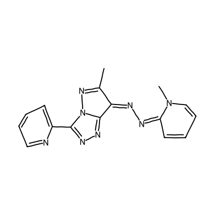 CC1=Nn2c(nnc2-c2ccccn2)C1=NN=c1ccccn1C